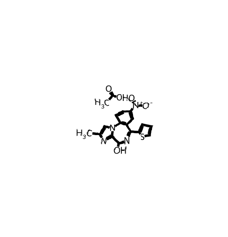 CC(=O)O.Cc1cn2c(n1)C(O)N=C(c1cccs1)c1cc([N+](=O)[O-])ccc1-2